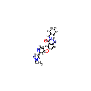 Cn1cc(-c2cc(Oc3ccc4ncn(CC5CCCCC5)c(=O)c4c3)ccn2)cn1